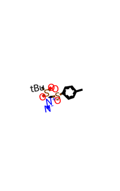 Cc1ccc(S(=O)(=O)C(=[N+]=[N-])S(=O)(=O)C(C)(C)C)cc1